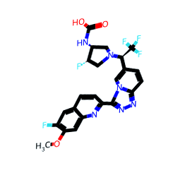 COc1cc2nc(-c3nnc4ccc([C@@H](N5C[C@H](F)[C@H](NC(=O)O)C5)C(F)(F)F)cn34)ccc2cc1F